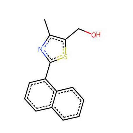 Cc1nc(-c2cccc3ccccc23)sc1CO